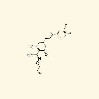 C=CCON=C(CCC)C1=C(O)CC(CCSc2ccc(F)c(F)c2)CC1=O